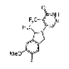 COc1cc2c(cc1F)CN(c1cn[nH]c(=O)c1C(F)(F)F)C2C